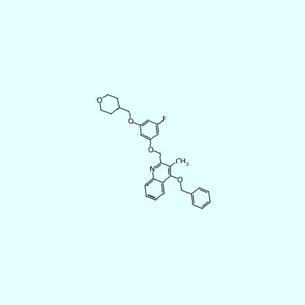 Cc1c(COc2cc(F)cc(OCC3CCOCC3)c2)nc2ccccc2c1OCc1ccccc1